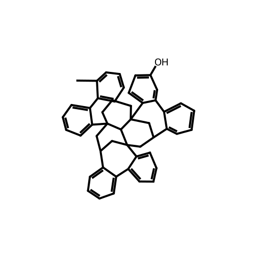 Cc1ccccc1-c1ccccc1C12CCCC34CC(CC5(CC(C1)c1ccccc1-c1ccccc15)C23)c1ccccc1-c1cc(O)ccc14